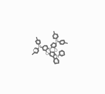 Cc1ccc(N(c2ccc(C)cc2)c2ccc3c(c2)Oc2cc4c5ccccc5n(-c5ccccc5)c4c4c2B3c2ccc(N(c3ccc(C)cc3)c3ccc(C)cc3)cc2O4)cc1